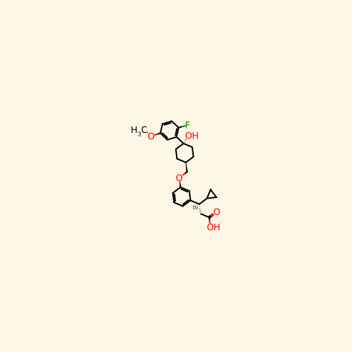 COc1ccc(F)c([C@]2(O)CC[C@H](COc3cccc([C@@H](CC(=O)O)C4CC4)c3)CC2)c1